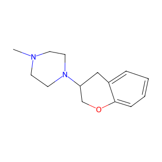 CN1CCN(C2COc3ccccc3C2)CC1